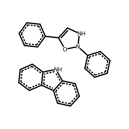 C1=C(c2ccccc2)ON(c2ccccc2)N1.c1ccc2c(c1)[nH]c1ccccc12